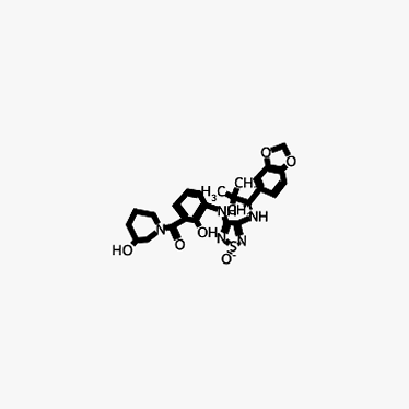 CC(C)(C)[C@@H](Nc1n[s+]([O-])nc1Nc1cccc(C(=O)N2CCCC(O)C2)c1O)c1ccc2c(c1)OCO2